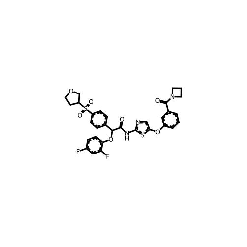 O=C(Nc1ncc(Oc2cccc(C(=O)N3CCC3)c2)s1)C(Oc1ccc(F)cc1F)c1ccc(S(=O)(=O)C2CCOC2)cc1